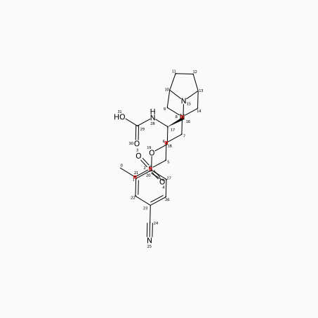 CCS(=O)(=O)CCCN1CC2CCC(C1)N2C[C@@H](COc1ccc(C#N)cc1)NC(=O)O